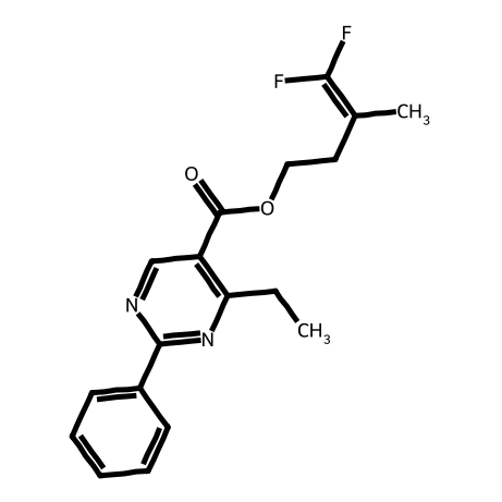 CCc1nc(-c2ccccc2)ncc1C(=O)OCCC(C)=C(F)F